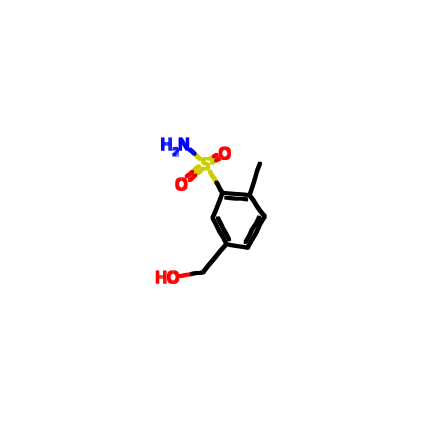 Cc1ccc(CO)cc1S(N)(=O)=O